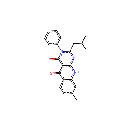 Cc1ccc2c(=O)c3c(=O)n(-c4ccccc4)c(CC(C)C)nc3[nH]c2c1